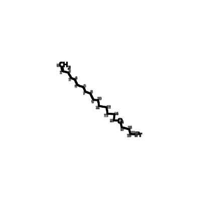 C=CCCCCCCCCCCCCCCOCCCC(C)C